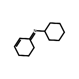 C1=CC(=NC2CCCCC2)CCC1